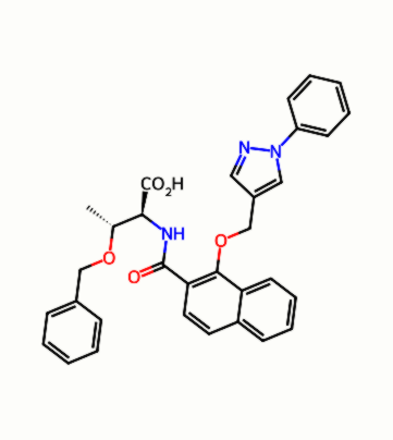 C[C@@H](OCc1ccccc1)[C@H](NC(=O)c1ccc2ccccc2c1OCc1cnn(-c2ccccc2)c1)C(=O)O